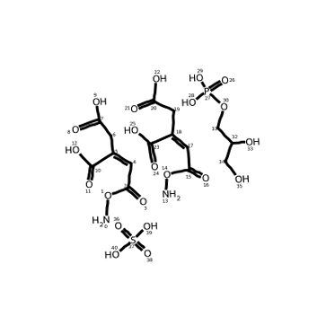 NOC(=O)C=C(CC(=O)O)C(=O)O.NOC(=O)C=C(CC(=O)O)C(=O)O.O=P(O)(O)OCC(O)CO.O=S(=O)(O)O